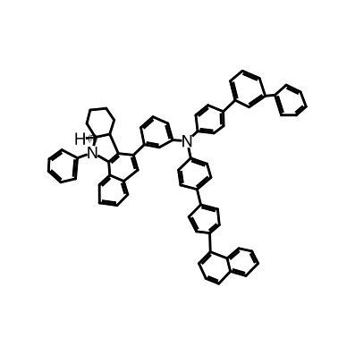 c1ccc(-c2cccc(-c3ccc(N(c4ccc(-c5ccc(-c6cccc7ccccc67)cc5)cc4)c4cccc(-c5cc6ccccc6c6c5C5CCCC[C@H]5N6c5ccccc5)c4)cc3)c2)cc1